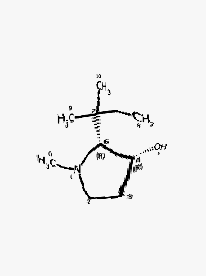 CN1CC[C@@H](O)[C@H]1C(C)(C)C